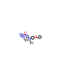 CC(C)CCN1CCN(C)CC1C(=O)N1CCC(N(CCC(C)C)c2ccc(OCc3ccccc3)cc2)CC1